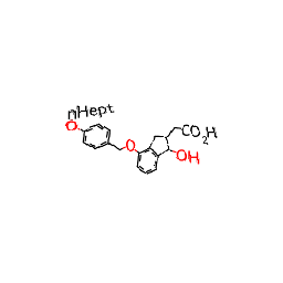 CCCCCCCOc1ccc(COc2cccc3c2CC(CC(=O)O)C3O)cc1